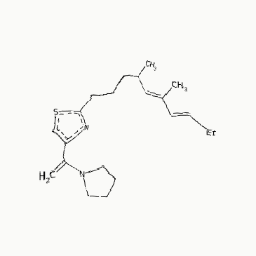 C=C(c1csc(CCCC(C)/C=C(C)/C=C/CC)n1)N1CCCC1